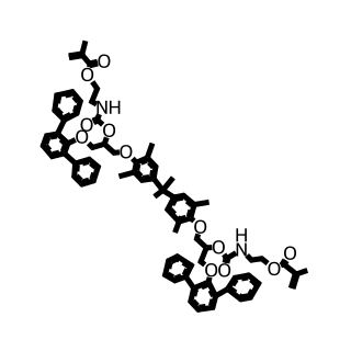 C=C(C)C(=O)OCCNC(=O)OC(COc1c(C)cc(C(C)(C)c2cc(C)c(OCC(COc3c(-c4ccccc4)cccc3-c3ccccc3)OC(=O)NCCOC(=O)C(=C)C)c(C)c2)cc1C)COc1c(-c2ccccc2)cccc1-c1ccccc1